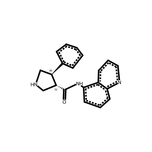 O=C(Nc1cccc2ncccc12)[C@@H]1CNC[C@H]1c1ccccc1